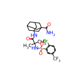 CC(C)(NS(=O)(=O)c1cc(C(F)(F)F)ccc1Br)C(=O)NC12CC3CC(C1)CC(C(N)=O)(C3)C2